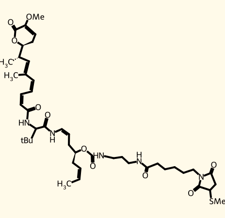 C/C=C\C[C@@H](C/C=C\NC(=O)C(NC(=O)\C=C/C=C\C(C)=C\[C@H](C)[C@@H]1CC=C(OC)C(=O)O1)C(C)(C)C)OC(=O)NCCCNC(=O)CCCCCN1C(=O)CC(SC)C1=O